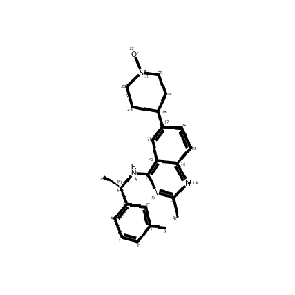 Cc1cccc([C@@H](C)Nc2nc(C)nc3ccc(C4CC[S+]([O-])CC4)cc23)c1